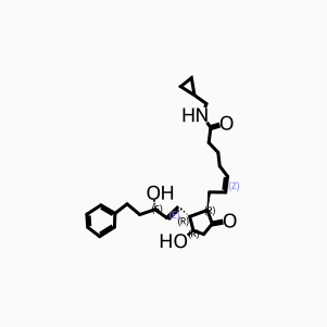 O=C(CCC/C=C\C[C@H]1C(=O)C[C@@H](O)[C@@H]1/C=C/[C@@H](O)CCc1ccccc1)NCC1CC1